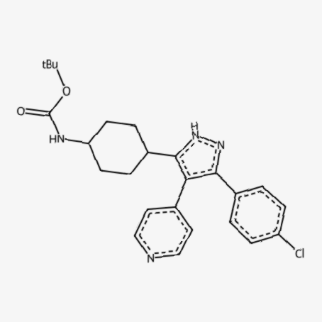 CC(C)(C)OC(=O)NC1CCC(c2[nH]nc(-c3ccc(Cl)cc3)c2-c2ccncc2)CC1